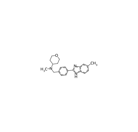 Cc1ccc2[nH]c(-c3ccc(CN(C)C4CCOCC4)cc3)nc2c1